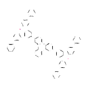 O=P(c1ccc(-c2ccccc2)cc1)(c1ccc(-c2ccccc2)cc1)c1ccc(-c2ccc3c4ccc(-c5ccc(P(=O)(c6ccc(-c7ccccc7)cc6)c6ccc(-c7ccccc7)cc6)cc5)cc4c4ccccc4c3c2)cc1